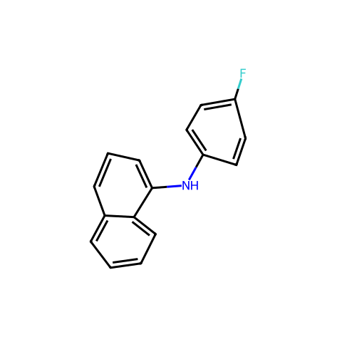 Fc1ccc(Nc2cccc3ccccc23)cc1